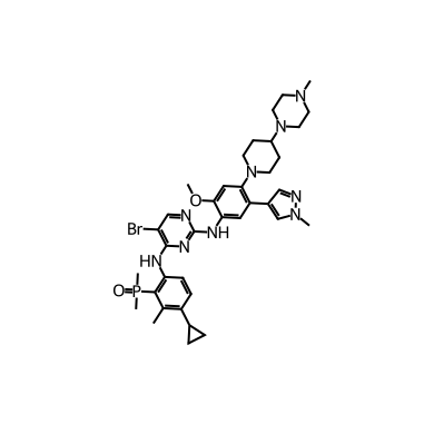 COc1cc(N2CCC(N3CCN(C)CC3)CC2)c(-c2cnn(C)c2)cc1Nc1ncc(Br)c(Nc2ccc(C3CC3)c(C)c2P(C)(C)=O)n1